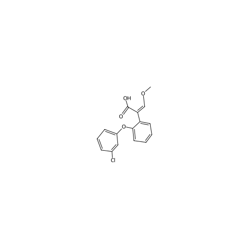 COC=C(C(=O)O)c1ccccc1Oc1cccc(Cl)c1